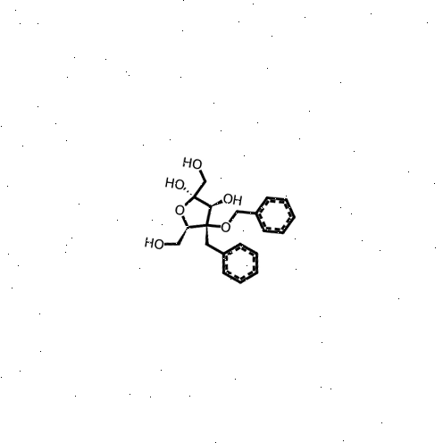 OC[C@H]1O[C@@](O)(CO)[C@@H](O)[C@]1(Cc1ccccc1)OCc1ccccc1